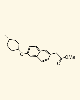 COC(=O)Cc1ccc2cc(O[C@H]3CC[C@@H](C)CC3)ccc2c1